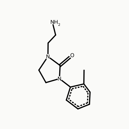 Cc1ccccc1N1CCN(CCN)C1=O